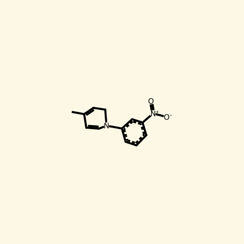 CC1=CCN(c2cccc([N+](=O)[O-])c2)C=C1